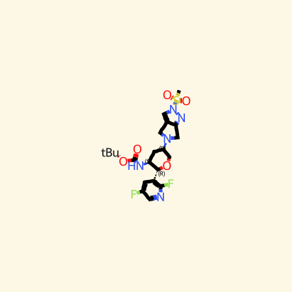 CC(C)(C)OC(=O)N[C@H]1C[C@@H](N2Cc3cn(S(C)(=O)=O)nc3C2)CO[C@@H]1c1cc(F)cnc1F